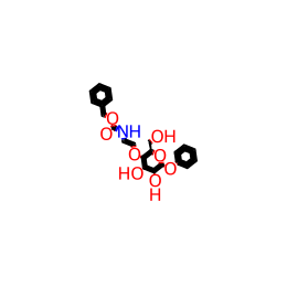 O=C(NCCO[C@@H]1[C@H](O)[C@@H](O)[C@H](Oc2ccccc2)O[C@@H]1CO)OCc1ccccc1